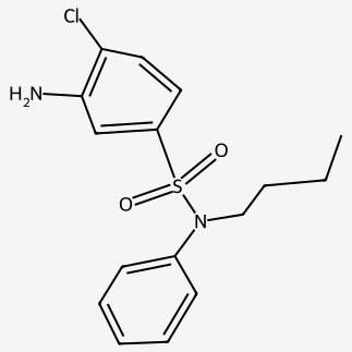 CCCCN(c1ccccc1)S(=O)(=O)c1ccc(Cl)c(N)c1